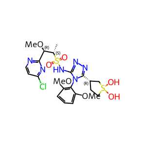 COc1cccc(OC)c1-n1c(NS(=O)(=O)[C@@H](C)[C@H](OC)c2nccc(Cl)n2)nnc1[C@H]1CCS(O)(O)C1